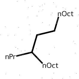 [CH2]CCC(CCCCCCCC)CCCCCCCCCC